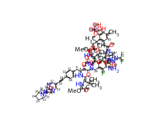 COC(=O)N[C@H](C(=O)N[C@@H](Cc1ccc(C#Cc2cnc(N3CC4CCC(C3)N4C3COC3)nc2)cc1)[C@H](CN(Cc1c(F)cc(-c2ccn(C(F)F)n2)cc1F)NC(=O)[C@@H](NC(=O)OC)C(C)(C)C(F)(F)F)OC(=O)OCOC(=O)CC(C)(C)c1c(CC(=O)N2CCN(S(N)(=O)=O)CC2)cc(C)cc1OP(=O)(O)O)C(C)(C)C(F)(F)F